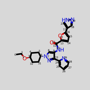 CCO[C@H]1CC[C@H](n2cc(NC(=O)c3ccc(-c4cn[nH]c4)o3)c(-c3ccccn3)n2)CC1